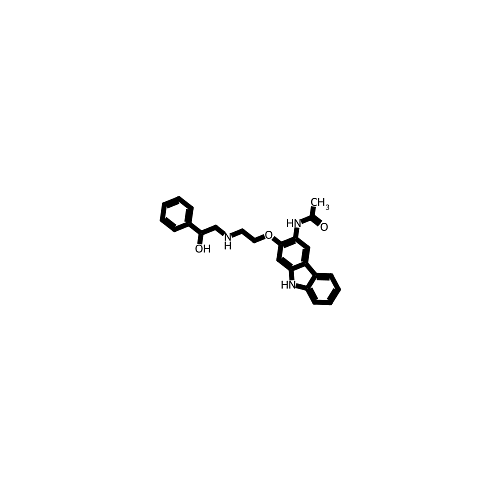 CC(=O)Nc1cc2c(cc1OCCNCC(O)c1ccccc1)[nH]c1ccccc12